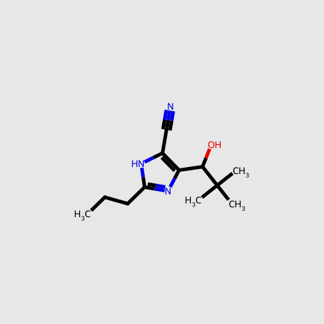 CCCc1nc(C(O)C(C)(C)C)c(C#N)[nH]1